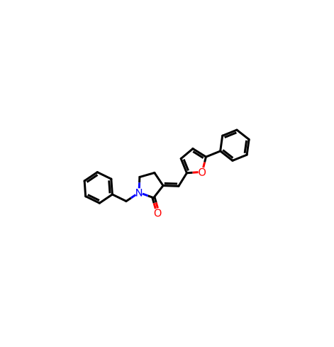 O=C1C(=Cc2ccc(-c3ccccc3)o2)CCN1Cc1ccccc1